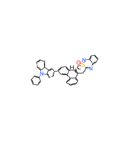 CS1(=O)=Nc2ccccc2N=C1Cc1cc2ccc(-c3ccc4c(c3)c3ccccc3n4-c3ccccc3)cc2c2ccccc12